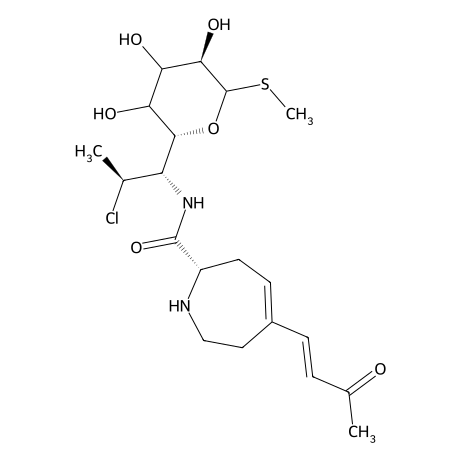 CSC1O[C@H]([C@H](NC(=O)[C@@H]2CC=C(/C=C/C(C)=O)CCN2)[C@H](C)Cl)C(O)C(O)[C@H]1O